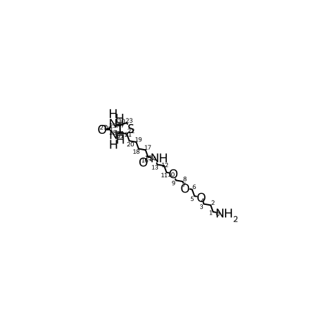 NCCCOCCOCCOCCCNC(=O)CCCCC1SC[C@@H]2NC(=O)N[C@H]12